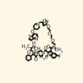 CN[C@@H](C)C(=O)N[C@H](C(=O)N1CCN(C(=O)c2c(C(=O)N(C)CCOCCOCCOc3cc(CN4CCC(Oc5ccnc6ccsc56)CC4)on3)c3cc(F)ccc3n2C)CC1)C1CCCCC1